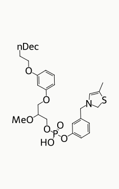 CCCCCCCCCCCCOc1cccc(OCC(COP(=O)(O)Oc2cccc(CN3C=C(C)SC3)c2)OC)c1